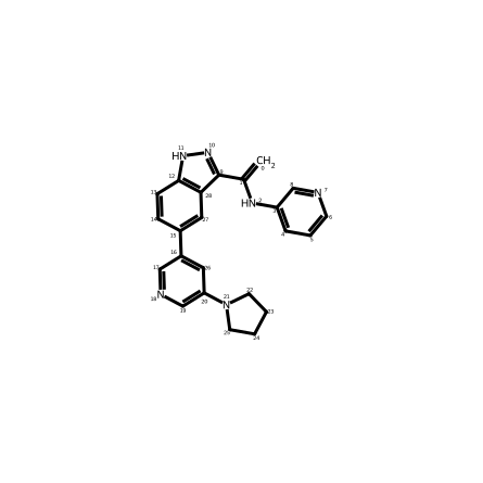 C=C(Nc1cccnc1)c1n[nH]c2ccc(-c3cncc(N4CCCC4)c3)cc12